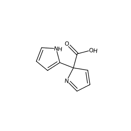 O=C(O)C1(c2ccc[nH]2)C=CC=N1